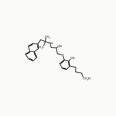 CCOC(=O)CCCc1cccc(OCC(O)CNC(C)(C)Cc2ccc3ccccc3c2)c1C#N